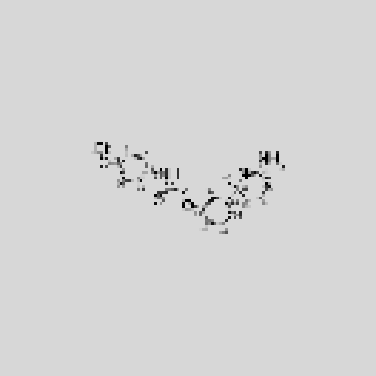 CCOc1ccc(NC(=O)COc2cccc(C3(C)CCSC(N)=N3)c2)cc1